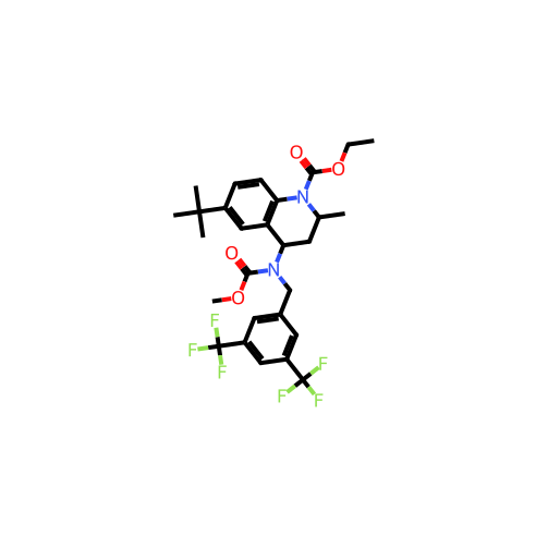 CCOC(=O)N1c2ccc(C(C)(C)C)cc2C(N(Cc2cc(C(F)(F)F)cc(C(F)(F)F)c2)C(=O)OC)CC1C